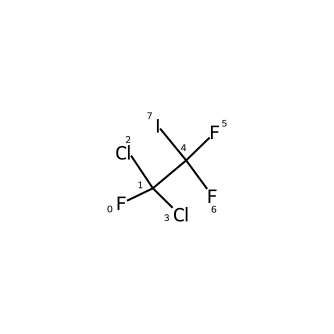 FC(Cl)(Cl)C(F)(F)I